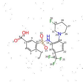 CCc1ccc(C(=O)O)cc1S(=O)(=O)Nc1cc(C(F)(F)F)ccc1N1CCCC(F)C1